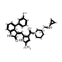 Cc1cc(C(=O)N2CCC[C@@H](CNC3CC3)C2)c(/C=C2\C(=O)Nc3cccc(-c4cccc(F)c4)c32)[nH]1